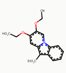 CCOC(=O)c1c2ccccc2n2cc(OCC#N)c(OCC(=O)O)cc12